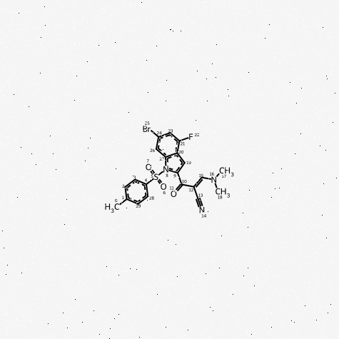 Cc1ccc(S(=O)(=O)n2c(C(=O)C(C#N)=CN(C)C)cc3c(F)cc(Br)cc32)cc1